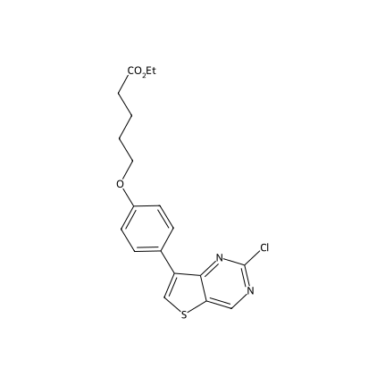 CCOC(=O)CCCCOc1ccc(-c2csc3cnc(Cl)nc23)cc1